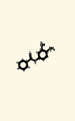 Nc1ccc(OC(=O)c2ccccc2)cc1O